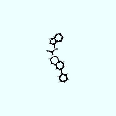 O=C(Nc1coc2ccccc12)N1CCc2cc(-c3ccccc3)ccc2C1